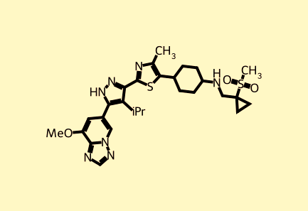 COc1cc(-c2[nH]nc(-c3nc(C)c(C4CCC(NCC5(S(C)(=O)=O)CC5)CC4)s3)c2C(C)C)cn2ncnc12